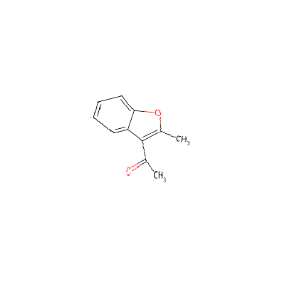 CC(=O)c1c(C)oc2cc[c]cc12